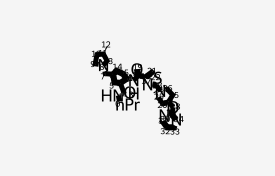 CCCNC(=O)c1cc(CN2CC[C@H](C)C2)ccc1NC(=O)c1csc(N2CCC(Oc3ncccn3)CC2)n1